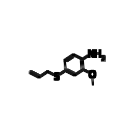 C=CCSc1ccc(N)c(OC)c1